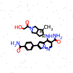 C[C@@H]1C2CN(C(=O)CO)CC2C[C@H]1Nc1c(C(N)=O)cnn2cc(-c3ccc(C(N)=O)cc3)cc12